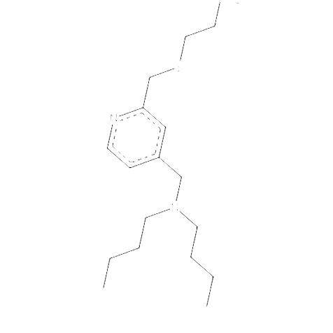 CCCCN(CCCC)Cc1ccnc(CSCCN)c1